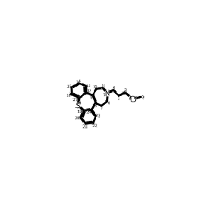 COCCCN1CCC2=C(CC1)c1ccccc1Sc1ccccc12